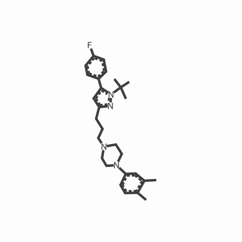 Cc1ccc(N2CCN(CCCc3cc(-c4ccc(F)cc4)n(C(C)(C)C)n3)CC2)cc1C